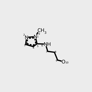 Cn1nccc1NCCC[O]